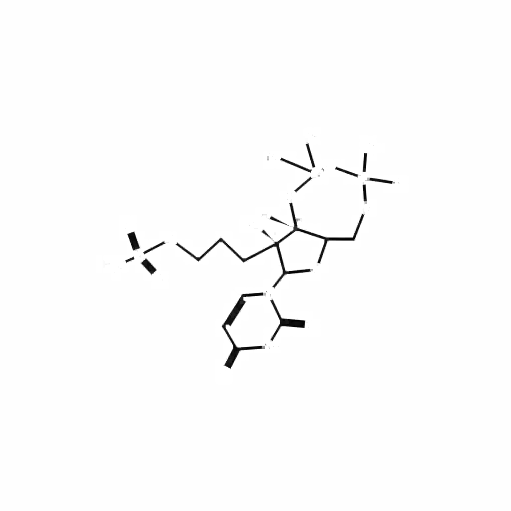 CC(C)[Si]1(C(C)C)OCC2OC(n3ccc(=O)[nH]c3=O)[C@](O)(CCCOS(C)(=O)=O)[C@@H]2O[Si](C(C)C)(C(C)C)O1